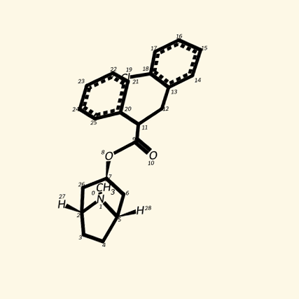 CN1[C@@H]2CC[C@H]1C[C@H](OC(=O)C(Cc1ccccc1Cl)c1ccccc1)C2